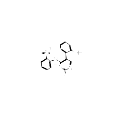 CC(C)S(=O)(=O)c1ccccc1Nc1nc(Cl)ncc1-c1ccccc1O